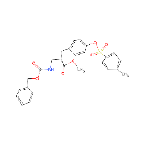 COC(=O)C(CNC(=O)OCc1ccccc1)Cc1ccc(OS(=O)(=O)c2ccc(C)cc2)cc1